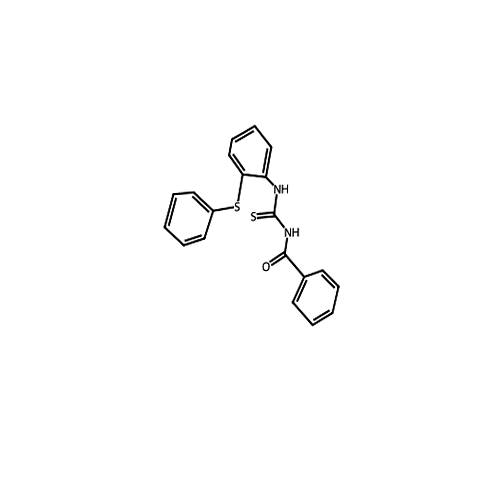 O=C(NC(=S)Nc1ccccc1Sc1ccccc1)c1ccccc1